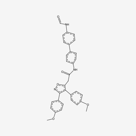 COc1ccc(-c2noc(CC(=O)Nc3ccc(-c4ccc(NC=O)cc4)cc3)c2-c2ccc(OC)cc2)cc1